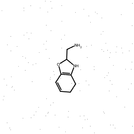 NCC1NC2=C(C=CCC2)O1